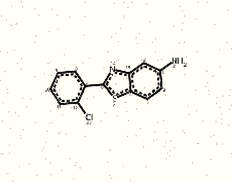 Nc1ccc2sc(-c3ccccc3Cl)nc2c1